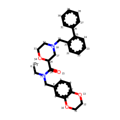 CC(C)CN(Cc1ccc2c(c1)OCCO2)C(=O)C1CN(Cc2ccccc2-c2ccccc2)CCO1